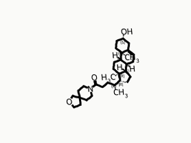 C[C@H](CCC(=O)N1CCC2(CCOC2)CC1)[C@H]1CC[C@H]2[C@@H]3CC=C4C[C@@H](O)CC[C@]4(C)[C@H]3CC[C@]12C